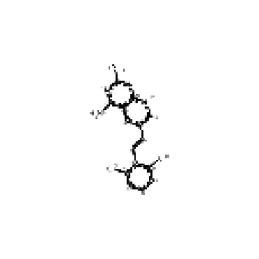 Nc1nc(N)c2cc(C=Cc3c(Cl)cccc3Cl)cnc2n1